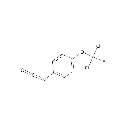 O=C=Nc1ccc(OC(F)(Cl)Cl)cc1